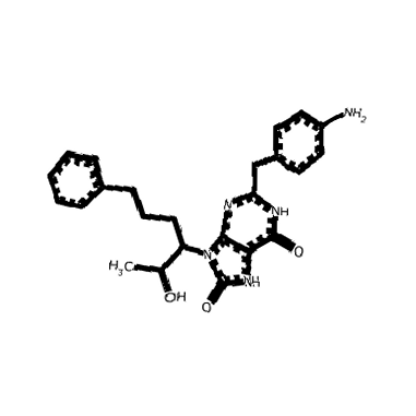 CC(O)C(CCCc1ccccc1)n1c(=O)[nH]c2c(=O)[nH]c(Cc3ccc(N)cc3)nc21